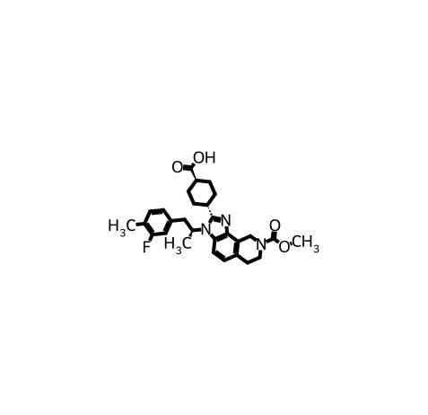 COC(=O)N1CCc2ccc3c(nc([C@H]4CC[C@H](C(=O)O)CC4)n3[C@@H](C)Cc3ccc(C)c(F)c3)c2C1